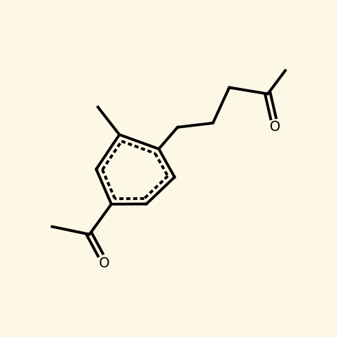 CC(=O)CCCc1ccc(C(C)=O)cc1C